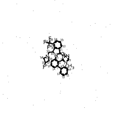 Cn1cnnc1-c1c(-c2ccccc2)cccc1N1C(=O)c2cccc(C(F)(F)F)c2C1CN1CC(F)C1